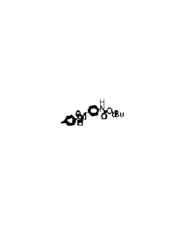 Cc1ccc(S(=O)(=O)OC[C@H]2CC[C@H](NC(=O)OC(C)(C)C)CC2)cc1